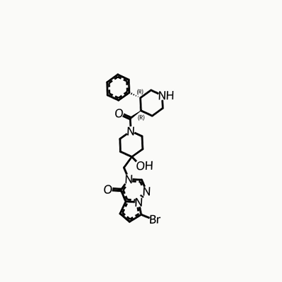 O=C([C@@H]1CCNC[C@H]1c1ccccc1)N1CCC(O)(Cn2cnn3c(Br)ccc3c2=O)CC1